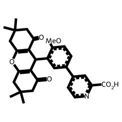 COc1ccc(-c2ccnc(C(=O)O)c2)cc1C1C2=C(CC(C)(C)CC2=O)OC2=C1C(=O)CC(C)(C)C2